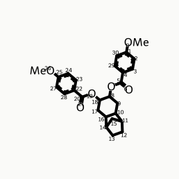 COc1ccc(C(=O)OC2CC3C4CCC(C4)C3CC2OC(=O)c2ccc(OC)cc2)cc1